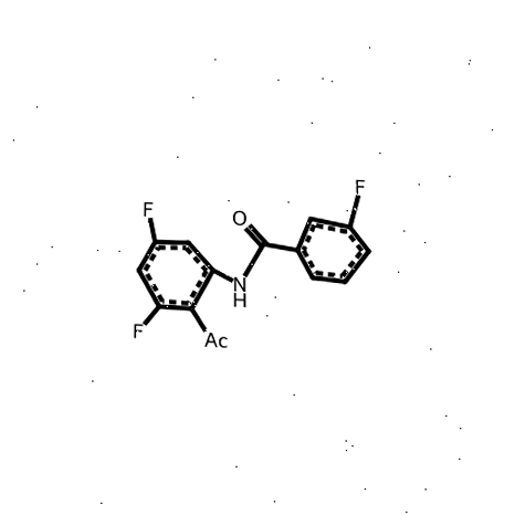 CC(=O)c1c(F)cc(F)cc1NC(=O)c1cccc(F)c1